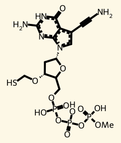 COP(=O)(O)OP(=O)(O)OP(=O)(O)OCC1O[C@@H](n2cc(C#CN)c3c(=O)[nH]c(N)nc32)C[C@H]1OCS